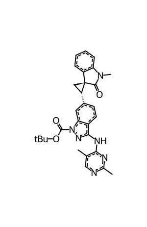 Cc1ncc(C)c(Nc2nn(C(=O)OC(C)(C)C)c3cc([C@@H]4C[C@@]45C(=O)N(C)c4ccccc45)ccc23)n1